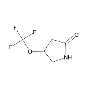 O=C1[CH]C(OC(F)(F)F)CN1